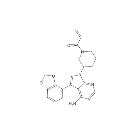 C=CC(=O)N1CCCC(n2cc(-c3cccc4c3OCO4)c3c(N)ncnc32)C1